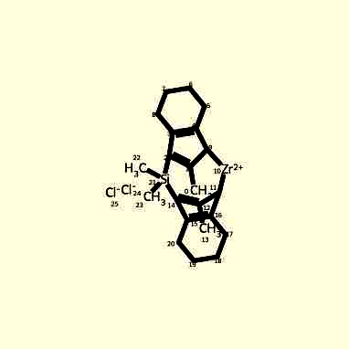 CC1=C2C3=C(CCCC3)[CH]1[Zr+2][CH]1C(C)=C(C3=C1CCCC3)[Si]2(C)C.[Cl-].[Cl-]